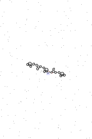 C=C(/C=C\c1c(C)oc2c(-c3cccc(-c4ccc5c6ccc(-c7cccc(-c8cccc9c8oc8ccccc89)c7)cc6c6ccccc6c5c4)c3)cccc12)c1ccc2c3ccc(-c4cccc(-c5cccc6c5oc5ccccc56)c4)cc3c3ccccc3c2c1